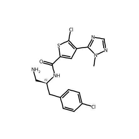 Cn1ncnc1-c1cc(C(=O)N[C@H](CN)Cc2ccc(Cl)cc2)sc1Cl